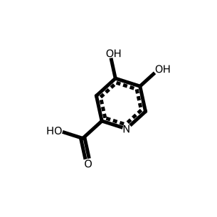 O=C(O)c1cc(O)c(O)cn1